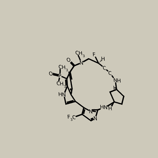 CN1C[C@@H](F)CCN[C@H]2CC[C@@H](C2)Nc2ncc(C(F)(F)F)c(n2)-c2c[nH]c3c(P(C)(C)=O)c(ccc23)C1=O